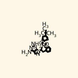 CCC(C)(C)c1ccc(S(=O)(=O)N2CC(n3ncc4c(N)nc(N)nc43)Cc3ccccc32)cc1